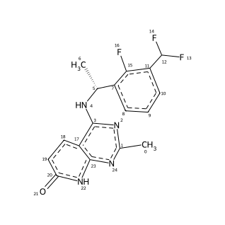 Cc1nc(N[C@H](C)c2cccc(C(F)F)c2F)c2ccc(=O)[nH]c2n1